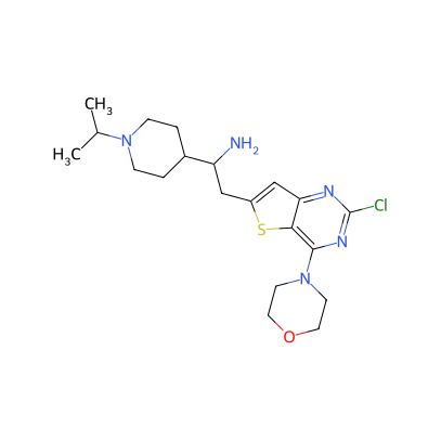 CC(C)N1CCC(C(N)Cc2cc3nc(Cl)nc(N4CCOCC4)c3s2)CC1